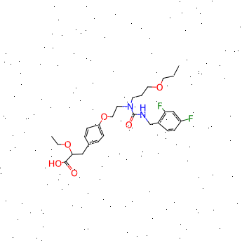 CCCOCCCN(CCOc1ccc(CC(OCC)C(=O)O)cc1)C(=O)NCc1ccc(F)cc1F